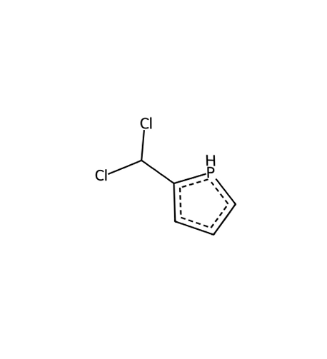 ClC(Cl)c1ccc[pH]1